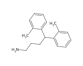 Cc1ccccc1C(CCCN)c1ccccc1C